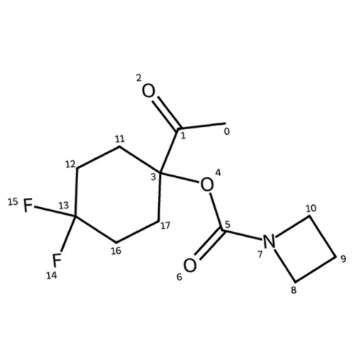 CC(=O)C1(OC(=O)N2CCC2)CCC(F)(F)CC1